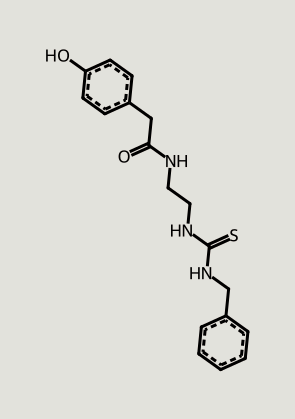 O=C(Cc1ccc(O)cc1)NCCNC(=S)NCc1ccccc1